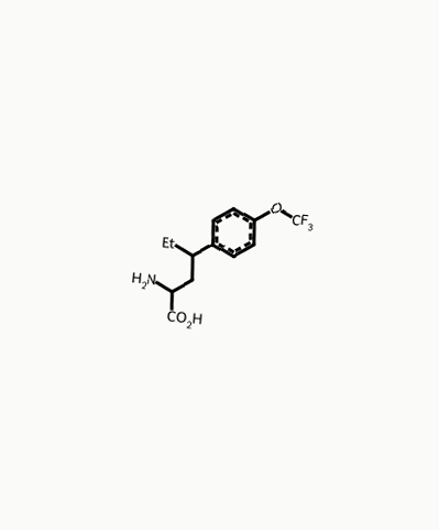 CCC(CC(N)C(=O)O)c1ccc(OC(F)(F)F)cc1